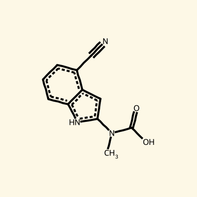 CN(C(=O)O)c1cc2c(C#N)cccc2[nH]1